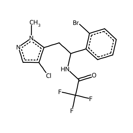 Cn1ncc(Cl)c1CC(NC(=O)C(F)(F)F)c1ccccc1Br